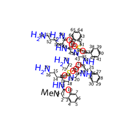 CN[C@@H](Cc1ccccc1)C(=O)N[C@@H](CCCCN)CN(CC(=O)N[C@@H](Cc1ccccc1)C(=O)N[C@@H](Cc1ccccc1)CN(CC(=O)N[C@@H](CCCCN)C(N)=O)S(=O)(=O)Cc1ccccc1)S(=O)(=O)CCN